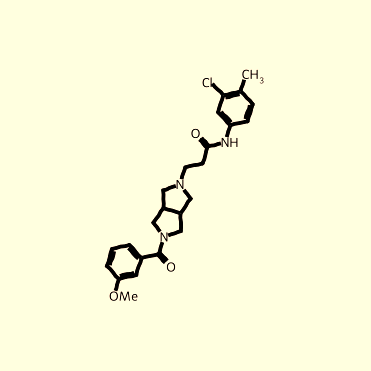 COc1cccc(C(=O)N2CC3CN(CCC(=O)Nc4ccc(C)c(Cl)c4)CC3C2)c1